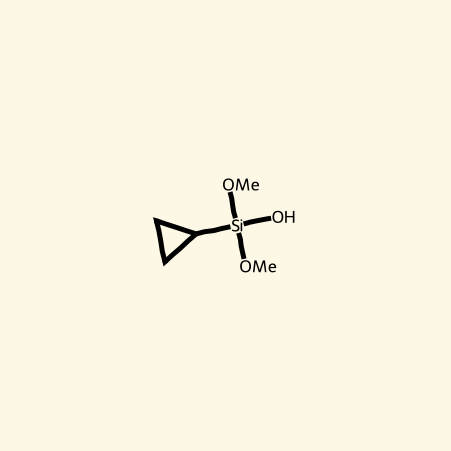 CO[Si](O)(OC)C1CC1